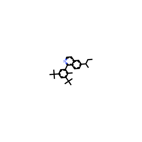 CCC(C)c1ccc2c(-c3cc(C(C)(C)C)cc(C(C)(C)C)c3C)nccc2c1